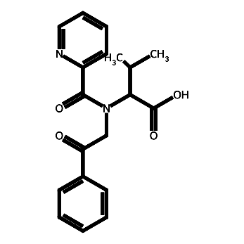 CC(C)C(C(=O)O)N(CC(=O)c1ccccc1)C(=O)c1ccccn1